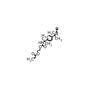 C=CC(=O)OCCOC(=O)NC(C)(C)c1ccc(C(C)(C)N=C=O)cc1